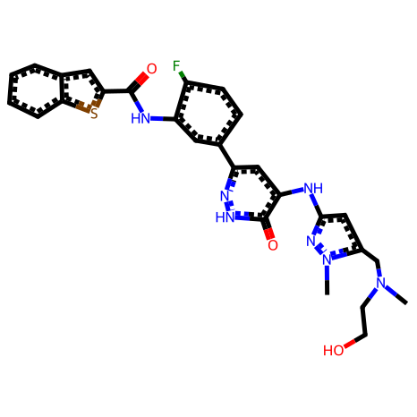 CN(CCO)Cc1cc(Nc2cc(-c3ccc(F)c(NC(=O)c4cc5ccccc5s4)c3)n[nH]c2=O)nn1C